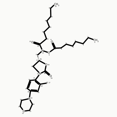 CCCCCCCC(=O)ON(C[C@H]1CN(c2ccc(N3CCOCC3)cc2F)C(=O)O1)C(=O)CCCCCCC